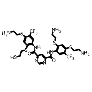 NCCSc1cc(SCCN)c(C(F)(F)F)cc1NC(=O)c1cc(C(=O)Nc2cc(C(F)(F)F)c(SCCN)cc2SCCS)ncn1